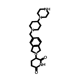 O=C1CCC(N2Cc3ccc(CN4CCC(N5CCNCC5)CC4)cc3C2)C(=O)N1